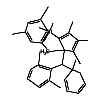 CC1=C(C)C([SiH2]c2cc(C)cc(C)c2)(C(c2c(C)cccc2C)C2(C)C=CC=CC2)[C]([Ti]([CH3])([CH3])[CH3])=C1C